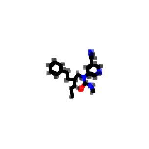 C=NC(=O)N(CC(CCC)CCc1ccccc1)c1cncc(C#N)c1